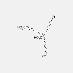 CC(C)CCCCCCCC(CCCCCCCC(=O)O)(CCCCCCCC(C)C)C(=O)O